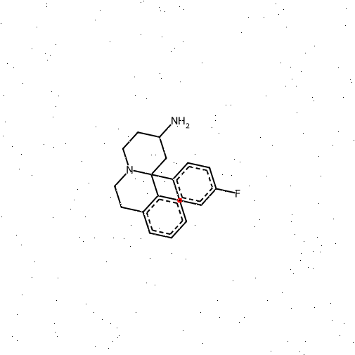 NC1CCN2CCc3ccccc3C2(c2ccc(F)cc2)C1